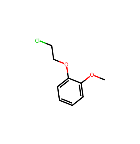 COc1ccccc1OCCCl